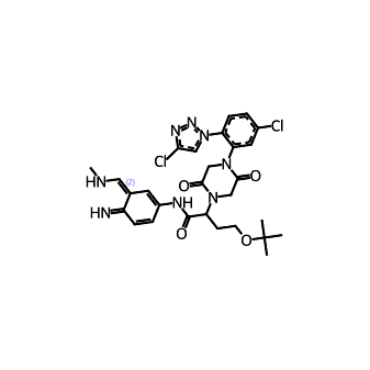 CN/C=C1/C=C(NC(=O)C(CCOC(C)(C)C)N2CC(=O)N(c3cc(Cl)ccc3-n3cc(Cl)nn3)CC2=O)C=CC1=N